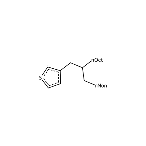 CCCCCCCCCCC(CCCCCCCC)Cc1[c]scc1